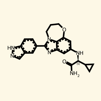 NC(=O)[C@@H](Nc1cc2c3c(c1)nc(-c1ccc4[nH]ncc4c1)n3CCCO2)C1CC1